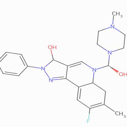 CC1=C(F)C=C2C3=NN(c4ccccc4)C(O)C3=CN([C@H](O)N3CCN(C)CC3)C2C1